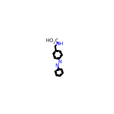 O=C(O)NCc1ccc(N=Nc2ccccc2)cc1